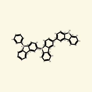 c1ccc(-n2c3ccccc3c3cc(-n4c5ccccc5c5cc(-c6ccc7sc8ccccc8c7c6)ccc54)ccc32)cc1